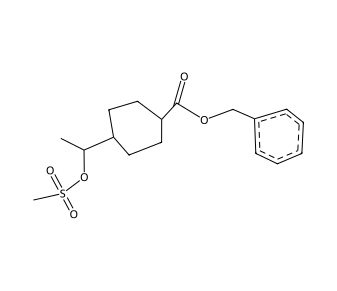 CC(OS(C)(=O)=O)C1CCC(C(=O)OCc2ccccc2)CC1